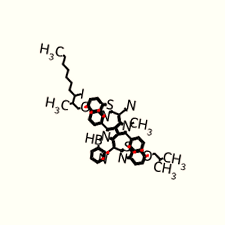 CCCCCCCC(I)C(C)COc1ccc(-c2c3/c(=C(/C#N)c4nc5ccccc5s4)n(C)c(-c4ccc(OCC(C)C)cc4)c3/c(=C(/C#N)c3nc4ccccc4s3)n2Bc2ccccc2)cc1